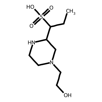 CCC(C1CN(CCO)CCN1)S(=O)(=O)O